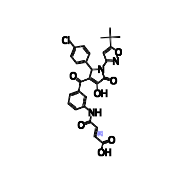 CC(C)(C)c1cc(N2C(=O)C(O)=C(C(=O)c3cccc(NC(=O)/C=C/C(=O)O)c3)C2c2ccc(Cl)cc2)no1